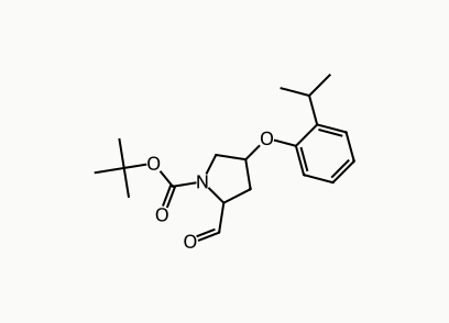 CC(C)c1ccccc1OC1CC(C=O)N(C(=O)OC(C)(C)C)C1